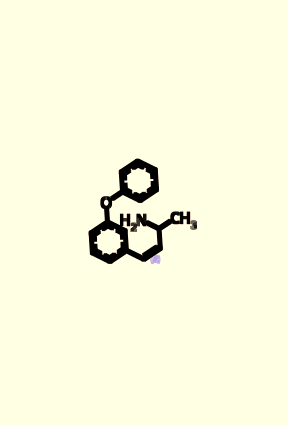 CC(N)/C=C\c1cccc(Oc2ccccc2)c1